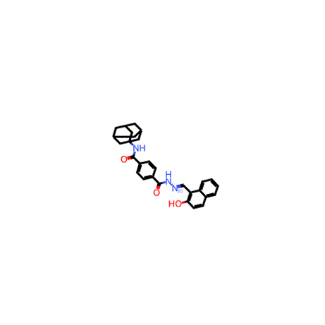 O=C(N/N=C/c1c(O)ccc2ccccc12)c1ccc(C(=O)NC23CC4CC(CC(C4)C2)C3)cc1